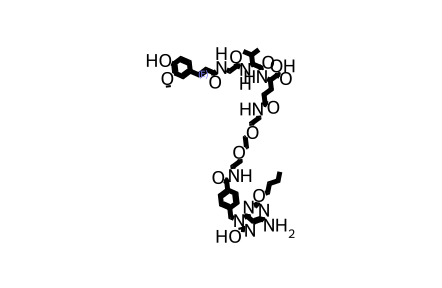 CCCCOc1nc(N)c2nc(O)n(Cc3ccc(C(=O)NCCOCCOCCNC(=O)CCC(NC(=O)C(NC(=O)CNC(=O)/C=C/c4ccc(O)c(OC)c4)C(C)C)C(=O)O)cc3)c2n1